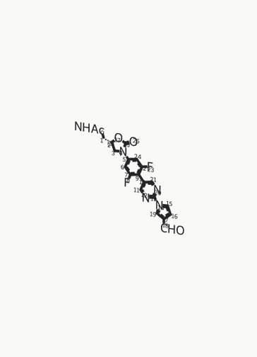 CC(=O)NC[C@H]1CN(c2cc(F)c(-c3cnc(-n4ccc(C=O)c4)nc3)c(F)c2)C(=O)O1